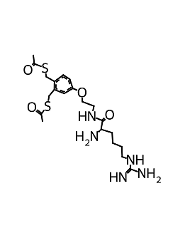 CC(=O)SCc1ccc(OCCNC(=O)[C@H](N)CCCCNC(=N)N)cc1CSC(C)=O